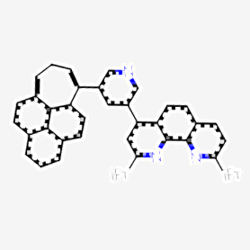 CC(C)c1ccc2ccc3c(-c4cncc(C5=CCC=c6ccc7cccc8ccc5c6c87)c4)cc(C(C)C)nc3c2n1